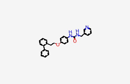 O=C(NCc1cccnc1)Nc1ccc(OCCc2ccccc2-c2ccccc2)cc1